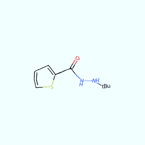 CC(C)(C)NNC(=O)c1cccs1